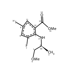 COC[C@H](C)Nc1c(F)cc(I)cc1C(=O)OC